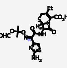 CCC1=C(C(=O)O)N2C(=O)[C@@H](NC(=O)/C(=N\OC(C)(C)OC=O)c3csc(N)n3)[C@H]2SC1